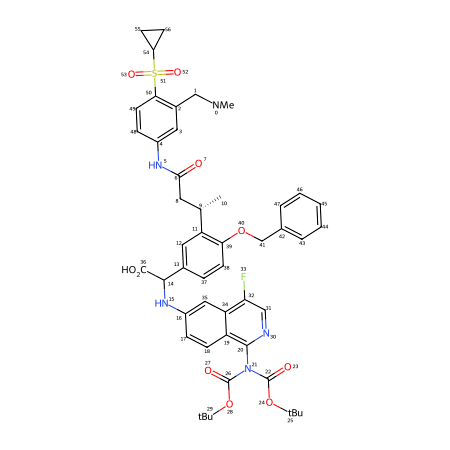 CNCc1cc(NC(=O)C[C@H](C)c2cc(C(Nc3ccc4c(N(C(=O)OC(C)(C)C)C(=O)OC(C)(C)C)ncc(F)c4c3)C(=O)O)ccc2OCc2ccccc2)ccc1S(=O)(=O)C1CC1